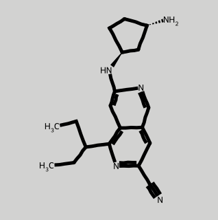 CCC(CC)c1nc(C#N)cc2cnc(N[C@H]3CC[C@H](N)C3)cc12